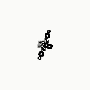 COc1ccc(N=Nc2c(O)c(O)c(N=Nc3ccc(OC)cc3)c3ccccc23)cc1